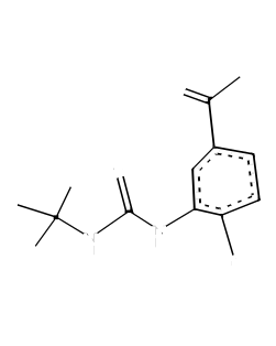 CC(=O)c1ccc(O)c(NC(=O)NC(C)(C)C)c1